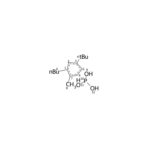 CCCCc1cc(C(C)(C)C)ccc1C.OP(O)O